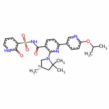 CC(C)Oc1ccc(-c2ccc(C(=O)NS(=O)(=O)c3ccc[nH]c3=O)c(N3C[C@@H](C)CC3(C)C)n2)cn1